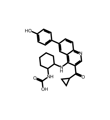 O=C(O)NC1CCCCC1Nc1c(C(=O)C2CC2)cnc2ccc(-c3ccc(O)cc3)cc12